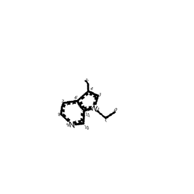 CCn1cc(C)c2ccncc21